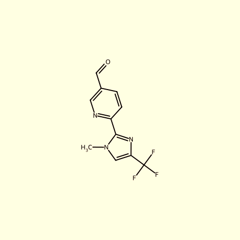 Cn1cc(C(F)(F)F)nc1-c1ccc(C=O)cn1